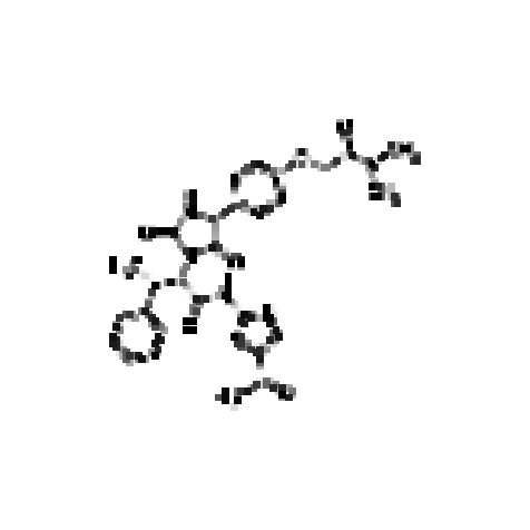 CC(=O)c1csc(NC(=O)[C@H]([C@@H](C)c2ccccc2)N2C(=O)NC(c3ccc(OCC(=O)N(C)C)cc3)C2=O)n1